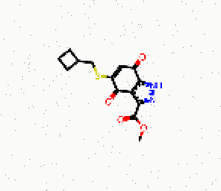 COC(=O)c1n[nH]c2c1C(=O)C(SCC1CCC1)=CC2=O